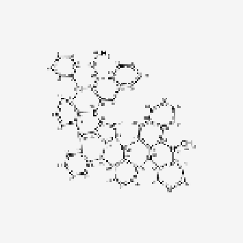 CN1c2ccccc2N2c3cccc4c3B(c3cc5ccccc5c1c32)c1sc2c3c1N4c1ccccc1N3c1cccc3c1B2c1cc2ccccc2c2c1N3c1ccccc1N2C